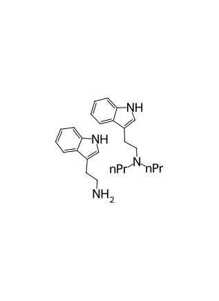 CCCN(CCC)CCc1c[nH]c2ccccc12.NCCc1c[nH]c2ccccc12